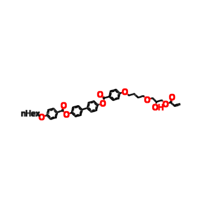 C=CC(=O)OCC(O)COCCCCOc1ccc(C(=O)Oc2ccc(-c3ccc(OC(=O)c4ccc(OCCCCCC)cc4)cc3)cc2)cc1